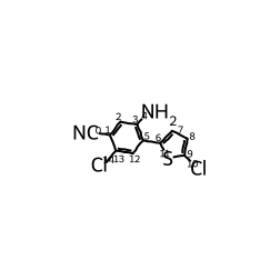 N#Cc1cc(N)c(-c2ccc(Cl)s2)cc1Cl